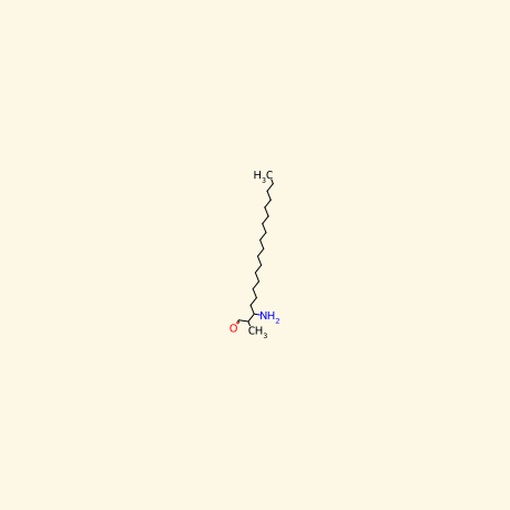 CCCCCCCCCCCCCCCCCC(N)C(C)C=O